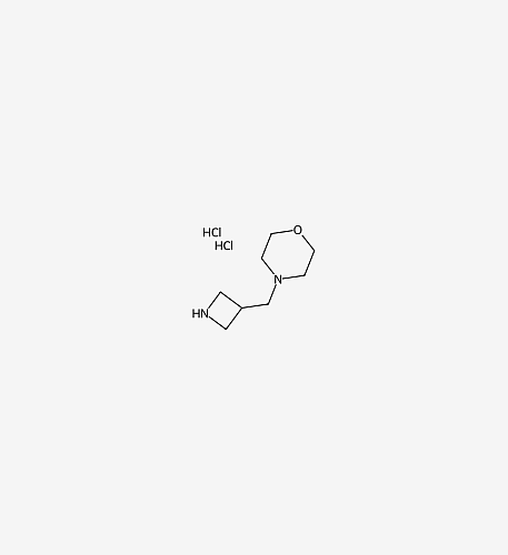 C1CN(CC2CNC2)CCO1.Cl.Cl